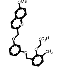 COc1ccc2nc(COc3cccc(OCc4cccc(C)c4OCC(=O)O)c3)ccc2c1